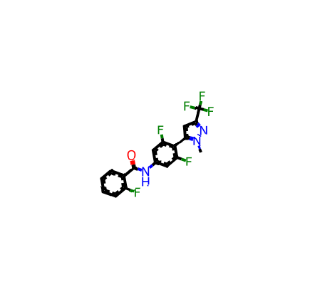 Cn1nc(C(F)(F)F)cc1-c1c(F)cc(NC(=O)c2ccccc2F)cc1F